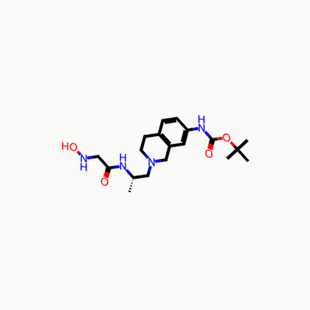 C[C@@H](CN1CCc2ccc(NC(=O)OC(C)(C)C)cc2C1)NC(=O)CNO